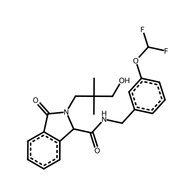 CC(C)(CO)CN1C(=O)c2ccccc2C1C(=O)NCc1cccc(OC(F)F)c1